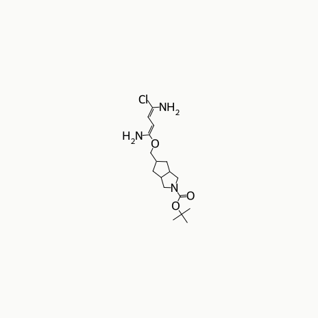 CC(C)(C)OC(=O)N1CC2CC(CO/C(N)=C/C=C(\N)Cl)CC2C1